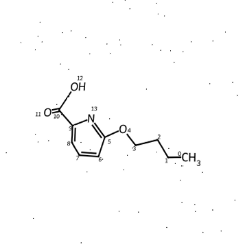 CCCCOc1cccc(C(=O)O)n1